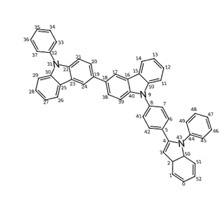 C1=CC2C=C(c3ccc(-n4c5ccccc5c5cc(-c6ccc7c(c6)c6ccccc6n7-c6ccccc6)ccc54)cc3)N(c3ccccc3)C2C=C1